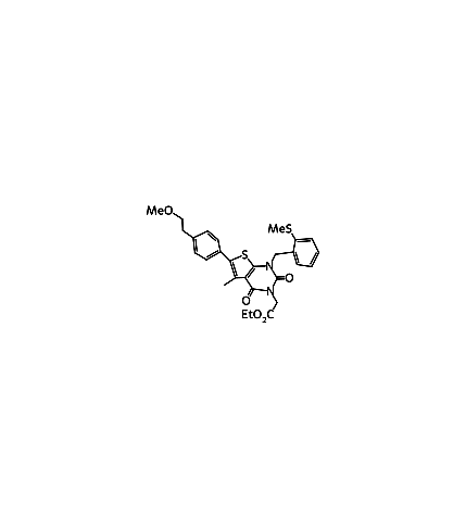 CCOC(=O)Cn1c(=O)c2c(C)c(-c3ccc(CCOC)cc3)sc2n(Cc2ccccc2SC)c1=O